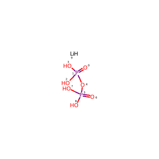 O=P(O)(O)OP(=O)(O)O.[LiH]